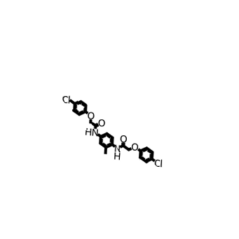 Cc1cc(NC(=O)COc2ccc(Cl)cc2)ccc1NC(=O)COc1ccc(Cl)cc1